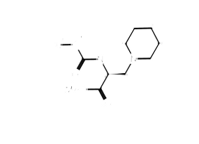 COC(=O)[C@H](CN1CCCCC1)NC(=O)OC(C)(C)C